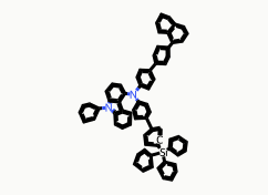 c1ccc(-n2c3ccccc3c3c(N(c4ccc(-c5ccc(-c6cccc7ccccc67)cc5)cc4)c4ccc(-c5ccc([Si](c6ccccc6)(c6ccccc6)c6ccccc6)cc5)cc4)cccc32)cc1